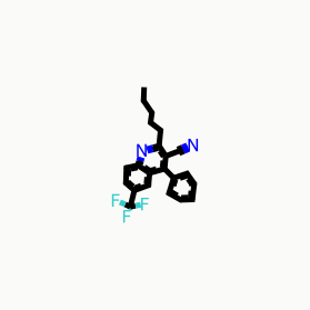 CCCCCc1nc2ccc(C(F)(F)F)cc2c(-c2ccccc2)c1C#N